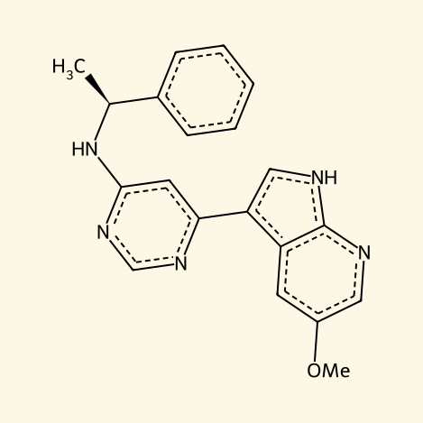 COc1cnc2[nH]cc(-c3cc(N[C@@H](C)c4ccccc4)ncn3)c2c1